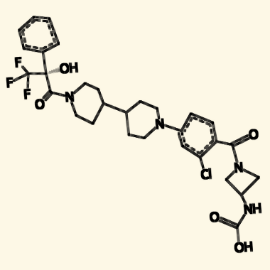 O=C(O)NC1CN(C(=O)c2ccc(N3CCC(C4CCN(C(=O)[C@](O)(c5ccccc5)C(F)(F)F)CC4)CC3)cc2Cl)C1